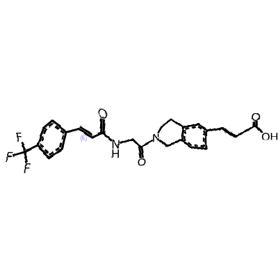 O=C(O)CCc1ccc2c(c1)CCN(C(=O)CNC(=O)/C=C/c1ccc(C(F)(F)F)cc1)C2